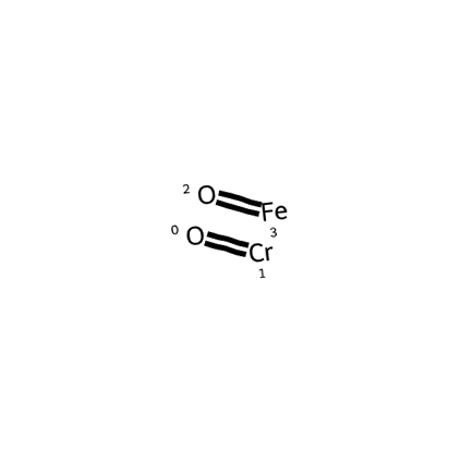 [O]=[Cr].[O]=[Fe]